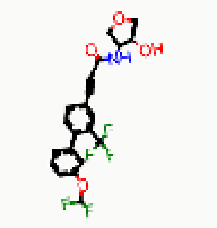 O=C(C#Cc1ccc(-c2cccc(OC(F)F)c2)c(C(F)(F)F)c1)N[C@@H]1COC[C@H]1O